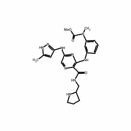 COC(=O)N(C)c1cccc(Nc2nc(Nc3cc(C)[nH]n3)cnc2C(=O)NCC2CCCN2)c1